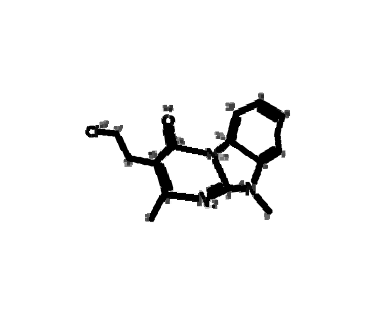 Cc1nc2n(C)c3ccccc3n2c(=O)c1CCCl